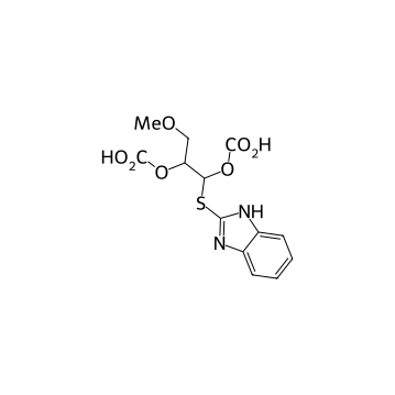 COCC(OC(=O)O)C(OC(=O)O)Sc1nc2ccccc2[nH]1